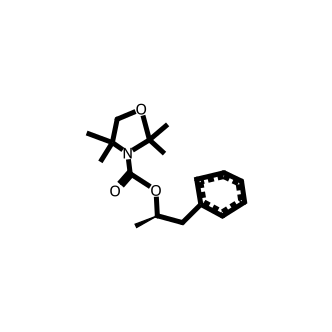 C[C@H](Cc1ccccc1)OC(=O)N1C(C)(C)COC1(C)C